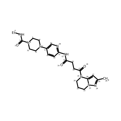 CCNC(=O)N1CCN(c2ccc(NC(=O)CCC(=O)N3CCCn4nc(C)cc43)nc2)CC1